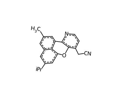 Cc1cc2c3c(cc(C(C)C)cc3c1)Oc1c(CC#N)ccnc1-2